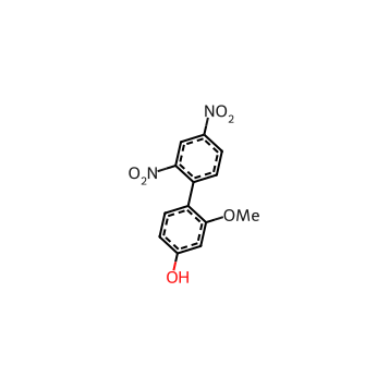 COc1cc(O)ccc1-c1ccc([N+](=O)[O-])cc1[N+](=O)[O-]